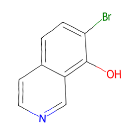 Oc1c(Br)ccc2ccncc12